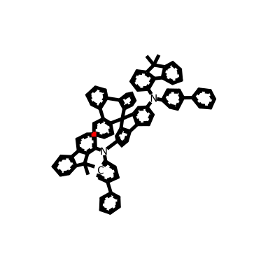 CC1(C)c2ccccc2-c2c(N(c3ccc(-c4ccccc4)cc3)c3ccc4c(c3)C3(c5ccccc5-c5ccccc5-c5ccccc53)c3cc(N(c5ccc(-c6ccccc6)cc5)c5cccc6c5C(C)(C)c5ccccc5-6)ccc3-4)cccc21